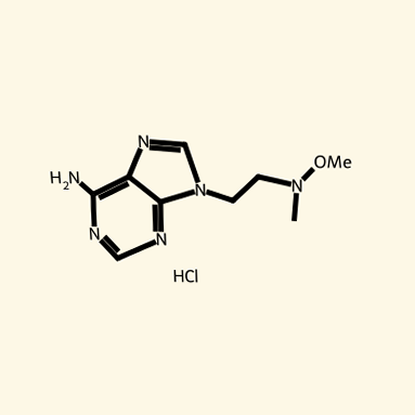 CON(C)CCn1cnc2c(N)ncnc21.Cl